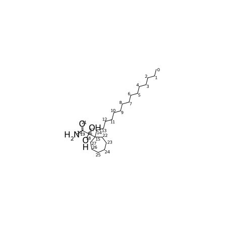 CCCCCCCCCCCCCCCC1(C(O)(O)C(N)=O)CCCCCC1